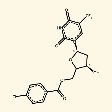 O=C(OCC1O[C@@H](n2cc(C(F)(F)F)c(=O)[nH]c2=O)C[C@H]1O)c1ccc(Cl)cc1